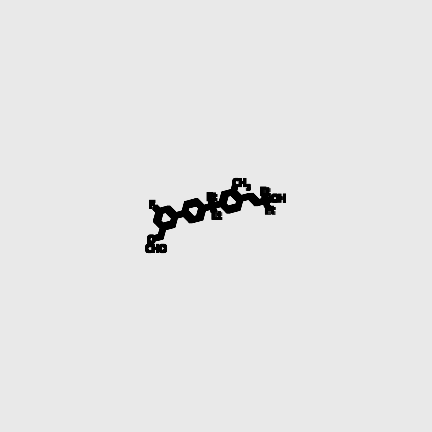 CCC(O)(/C=C/c1ccc(C(CC)(CC)c2ccc(-c3cc(F)cc(COC=O)c3)cc2)cc1C)CC